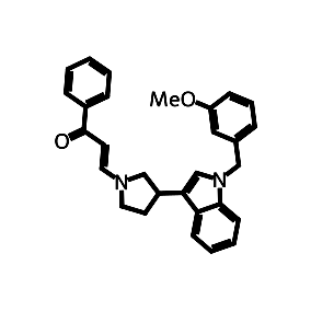 COc1cccc(Cn2cc(C3CCN(C=CC(=O)c4ccccc4)C3)c3ccccc32)c1